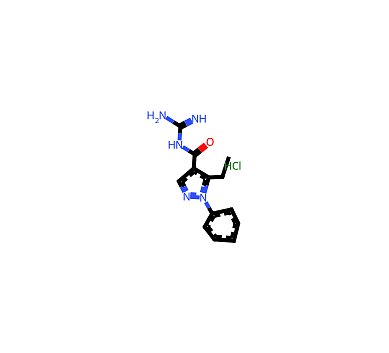 CCc1c(C(=O)NC(=N)N)cnn1-c1ccccc1.Cl